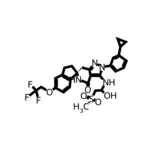 CS(=O)(=O)CC(O)Nc1c2c(nn1-c1cccc(C3CC3)c1)C[C@]1(CCc3cc(OCC(F)(F)F)ccc31)NC2=O